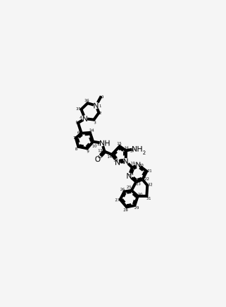 CN1CCN(Cc2cccc(NC(=O)c3cc(N)n(-c4ncc5c(n4)-c4ccccc4CC5)n3)c2)CC1